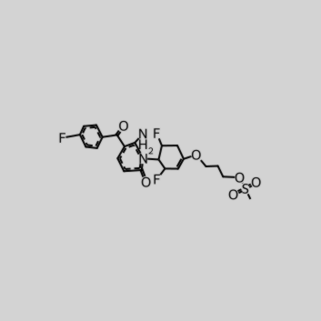 CS(=O)(=O)OCCCOC1=CC(F)C(n2c(N)c(C(=O)c3ccc(F)cc3)ccc2=O)C(F)C1